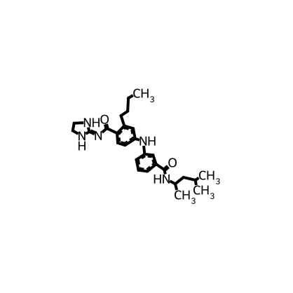 CCCCc1cc(Nc2cccc(C(=O)NC(C)CC(C)C)c2)ccc1C(=O)N=C1NCCN1